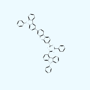 c1ccc(-c2nc(-c3ccc4c(c3)sc3cc(-c5ccc6c(c5)c5ccccc5n6-c5ccccc5)ccc34)nc(-c3cccc4c3c3ccccc3n4-c3ccccc3)n2)cc1